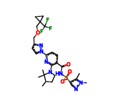 Cc1c(S(=O)(=O)NC(=O)c2ccc(-n3ccc(COCC4(C(F)(F)F)CC4)n3)nc2N2CCC(C)C2(C)C)cnn1C